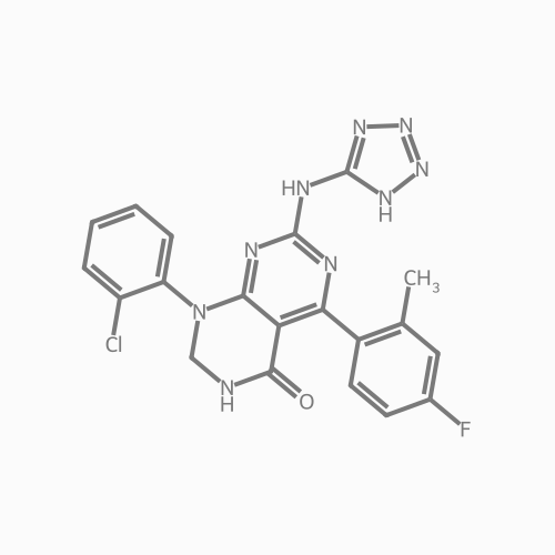 Cc1cc(F)ccc1-c1nc(Nc2nnn[nH]2)nc2c1C(=O)NCN2c1ccccc1Cl